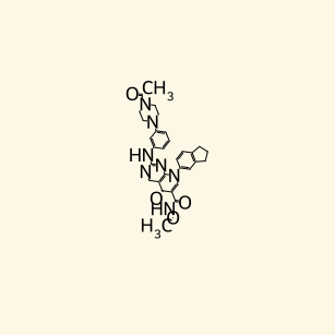 CONC(=O)c1cn(-c2ccc3c(c2)CCC3)c2nc(Nc3cccc(N4CCN(C(C)=O)CC4)c3)ncc2c1=O